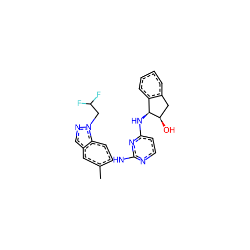 Cc1cc2cnn(CC(F)F)c2cc1Nc1nccc(N[C@H]2c3ccccc3C[C@H]2O)n1